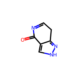 O=C1N=CCc2n[nH]cc21